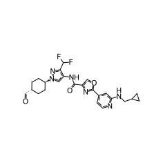 O=C[C@H]1CC[C@H](n2cc(NC(=O)c3coc(-c4ccnc(NCC5CC5)c4)n3)c(C(F)F)n2)CC1